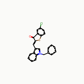 O=C1/C(=C/c2cn(Cc3ccccc3)c3ccccc23)Sc2ccc(Cl)cc21